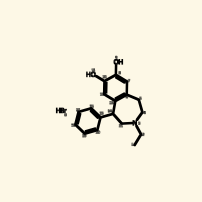 Br.CCN1CCc2cc(O)c(O)cc2C(c2ccccc2)C1